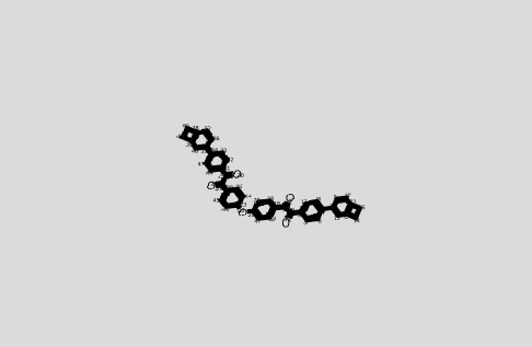 O=C(C(=O)c1ccc(-c2ccc3c(c2)CC3)cc1)c1ccc(Oc2ccc(C(=O)C(=O)c3ccc(-c4ccc5c(c4)CC5)cc3)cc2)cc1